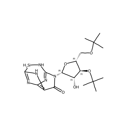 CC(C)(C)OC[C@H]1O[C@@H](n2c3nc4nc([nH]c4c2=O)[SiH2]N3)[C@@H](O)[C@@H]1OC(C)(C)C